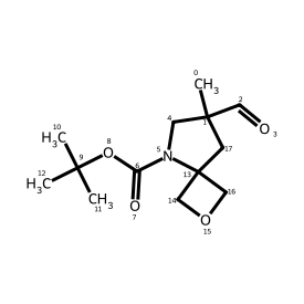 CC1(C=O)CN(C(=O)OC(C)(C)C)C2(COC2)C1